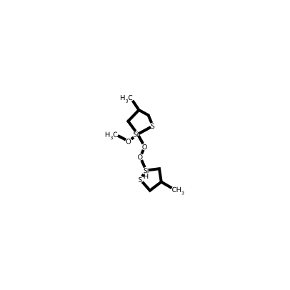 CO[Si]1(OO[SiH]2CC(C)CS2)CC(C)CS1